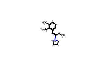 C=Cc1c(C)cccc1/C=C(\CC)N1CCCC1